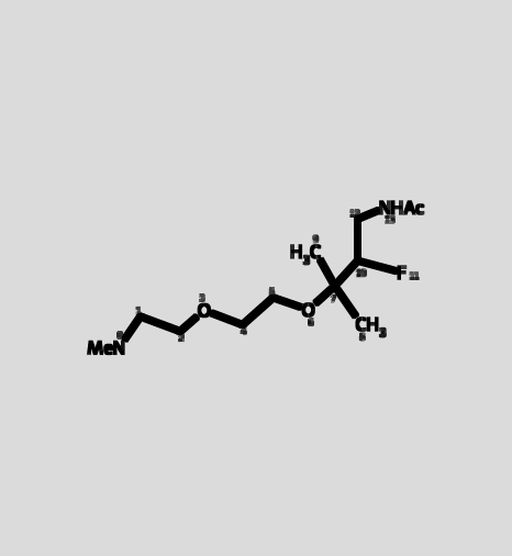 CNCCOCCOC(C)(C)C(F)CNC(C)=O